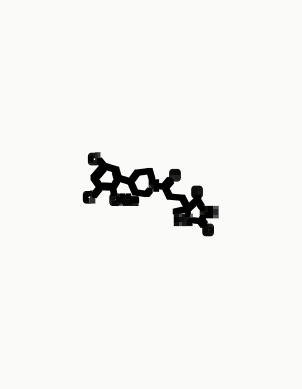 COc1c(Cl)cc(Cl)cc1C1CCN(C(=O)CCC2(C)NC(=O)NC2=O)CC1